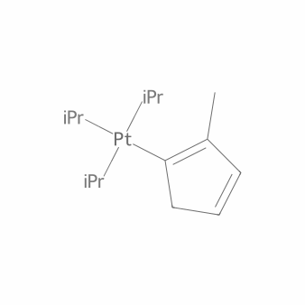 CC1=[C]([Pt]([CH](C)C)([CH](C)C)[CH](C)C)CC=C1